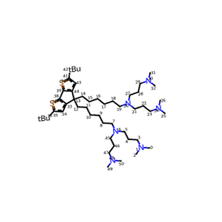 CN(C)CCCN(CCCCCCC1(CCCCCCN(CCCN(C)C)CCCN(C)C)c2cc(C(C)(C)C)sc2-c2sc(C(C)(C)C)cc21)CCCN(C)C